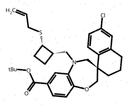 C=CCS[C@H]1CC[C@H]1CN1C[C@@]2(CCCc3cc(Cl)ccc32)COc2ccc(C(=O)OC(C)(C)C)cc21